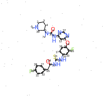 CN1CCCC(N(C)C(=O)Nc2cc(Oc3ccc(NC(=S)NC(=O)Cc4ccc(F)cc4)cc3F)ncn2)C1